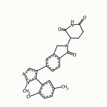 Cc1ccc(Cl)c(-c2c(-c3ccc4c(c3)CN(C3CCC(=O)NC3=O)C4=O)cnn2C)c1